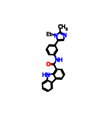 CCn1c(-c2cccc(NC(=O)c3cccc4c3[nH]c3ccccc34)c2)cnc1C